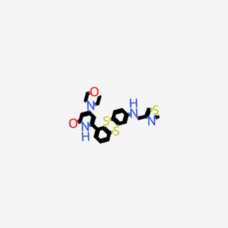 O=c1cc(N2CCOCC2)cc(-c2cccc3c2Sc2ccc(NCc4cscn4)cc2S3)[nH]1